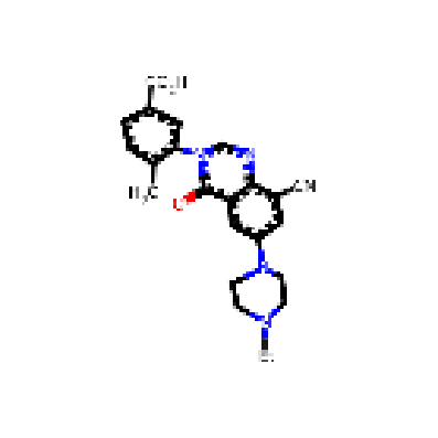 CCN1CCN(c2cc(C#N)c3ncn(-c4cc(C(=O)O)ccc4C)c(=O)c3c2)CC1